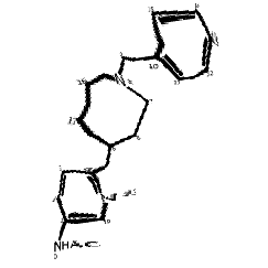 CC(=O)Nc1ccc(C2CCN(Cc3ccccc3)CC2)nc1